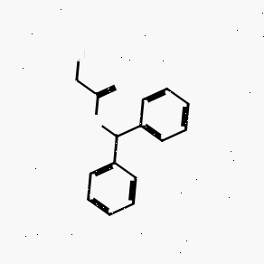 O=C(CCl)O[C](c1ccccc1)c1ccccc1